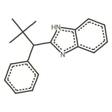 CC(C)(C)C(c1ccccc1)c1nc2ccccc2[nH]1